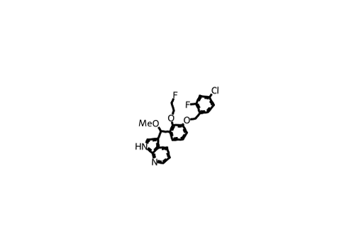 COC(c1cccc(OCc2ccc(Cl)cc2F)c1OCCF)c1c[nH]c2ncccc12